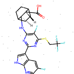 O=C(O)[C@H]1C2CCC(CC2)[C@@H]1Nc1nc(-c2c[nH]c3ncc(F)cc23)nc(SCC(F)(F)F)c1F